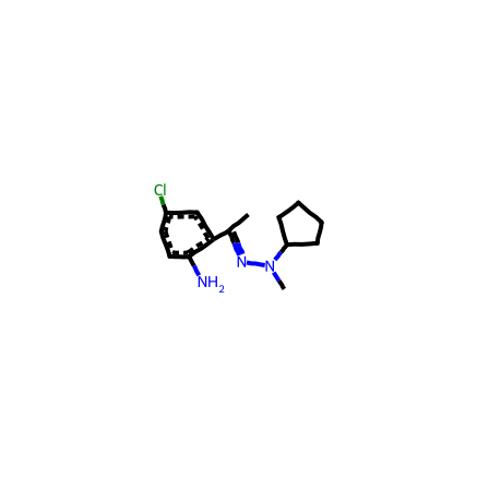 C/C(=N\N(C)C1CCCC1)c1cc(Cl)ccc1N